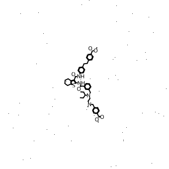 CCC(CC)N(CCN(C)Cc1ccc(C(=O)OC)cc1)Cc1cccc(C(=O)Nc2sc3c(c2C(=O)Nc2ccc(CCc4ccc(C(=O)OC)cc4)cc2)CCCC3)c1